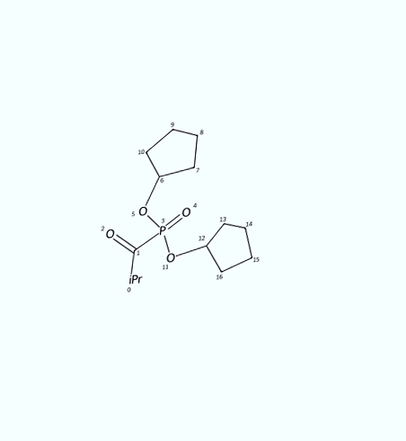 CC(C)C(=O)P(=O)(OC1CCCC1)OC1CCCC1